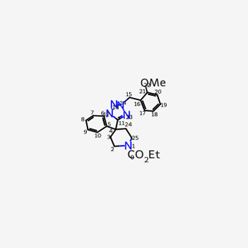 CCOC(=O)N1CCC(c2ccccc2)(c2nnn(Cc3ccccc3OC)n2)CC1